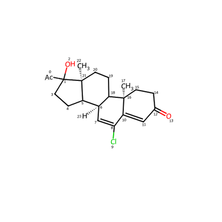 CC(=O)C1(O)CCC2[C@@H]3C=C(Cl)C4=CC(=O)CC[C@]4(C)C3CC[C@@]21C